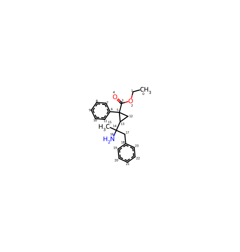 CCOC(=O)C1(c2ccccc2)CC1C(C)(N)Cc1ccccc1